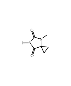 CN1C(=O)N(I)C(=O)C12CC2